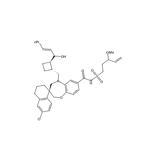 C=CC(CCS(=O)(=O)NC(=O)c1ccc2c(c1)N(C[C@@H]1CC[C@H]1C(O)/C=C/CCC)C[C@@]1(CCCc3cc(Cl)ccc31)CO2)OC